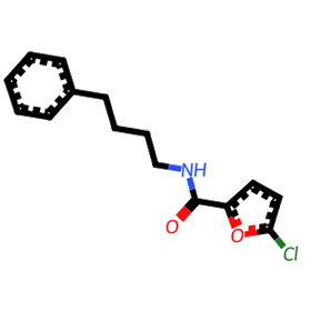 O=C(NCCCCc1ccccc1)c1ccc(Cl)o1